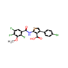 COc1c(F)c(F)cc(C(=O)Nc2scc(-c3ccc(Br)cc3)c2C(=O)O)c1F